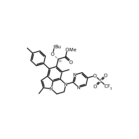 COC(=O)[C@@H](OC(C)(C)C)c1c(C)c2c3c(cc(C)n3CCN2c2ncc(OS(=O)(=O)C(F)(F)F)cn2)c1-c1ccc(C)cc1